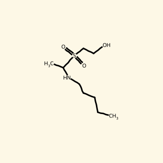 CCCCCNC(C)S(=O)(=O)CCO